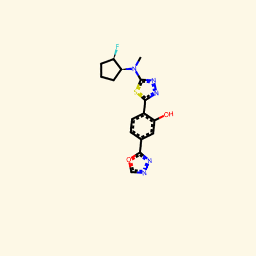 CN(c1nnc(-c2ccc(-c3nnco3)cc2O)s1)[C@H]1CCC[C@H]1F